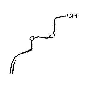 C=CCOOCO